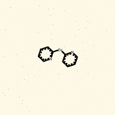 c1cc[c]([Eu][c]2ccccn2)nc1